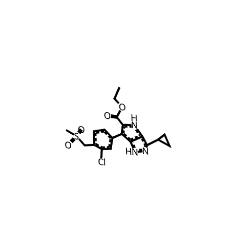 CCOC(=O)c1[nH]c2c(C3CC3)n[nH]c2c1-c1ccc(CS(C)(=O)=O)c(Cl)c1